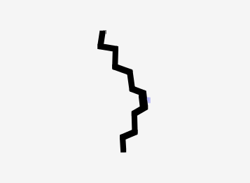 [CH2]CCCCC/C=C\CCCC